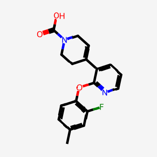 Cc1ccc(Oc2ncccc2C2=CCN(C(=O)O)CC2)c(F)c1